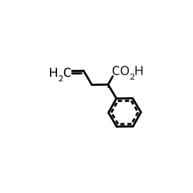 C=CC[C](C(=O)O)c1ccccc1